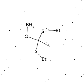 BOC(C)(SCC)SCC